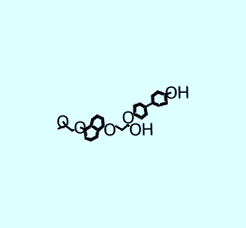 Oc1ccc(-c2ccc(OC(O)CCOc3cccc4c(OCC5CO5)cccc34)cc2)cc1